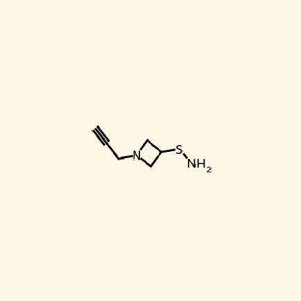 C#CCN1CC(SN)C1